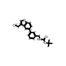 CC(C)(C)OC(=O)NCc1cccc(-c2ccc3occ(CCl)c3c2)c1